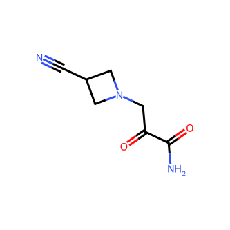 N#CC1CN(CC(=O)C(N)=O)C1